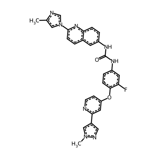 Cc1cn(-c2ccc3cc(NC(=O)Nc4ccc(Oc5ccnc(-c6cnn(C)c6)c5)c(F)c4)ccc3n2)cn1